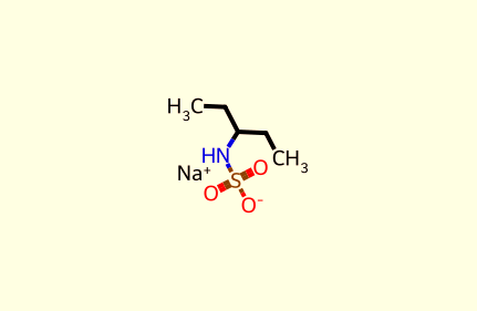 CCC(CC)NS(=O)(=O)[O-].[Na+]